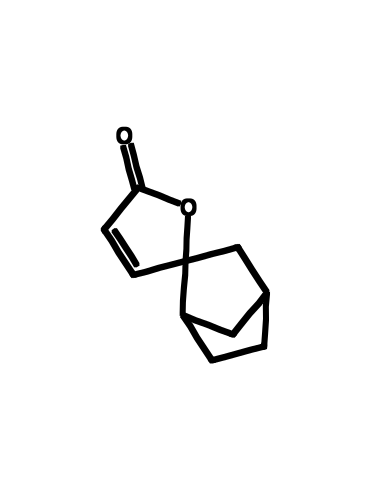 O=C1C=CC2(CC3CCC2C3)O1